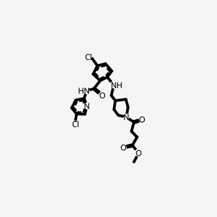 COC(=O)CCC(=O)N1CCC(CNc2ccc(Cl)cc2C(=O)Nc2ccc(Cl)cn2)CC1